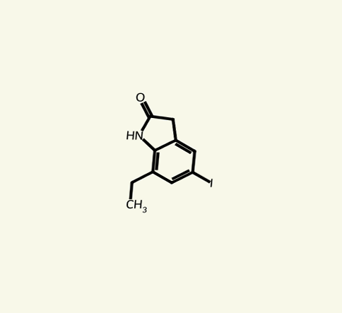 CCc1cc(I)cc2c1NC(=O)C2